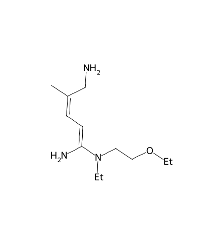 CCOCCN(CC)/C(N)=C/C=C(/C)CN